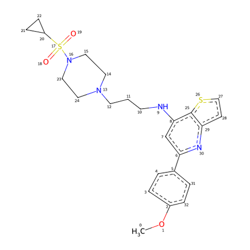 COc1ccc(-c2cc(NCCCN3CCN(S(=O)(=O)C4CC4)CC3)c3sccc3n2)cc1